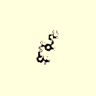 CC(=NOCc1cccc(C(F)(F)F)n1)c1ccc(Cl)c(CN2CCN(C)C2=O)c1